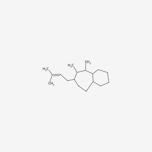 CC(C)=CCC1CCC2CCCCC2C(C)C1C